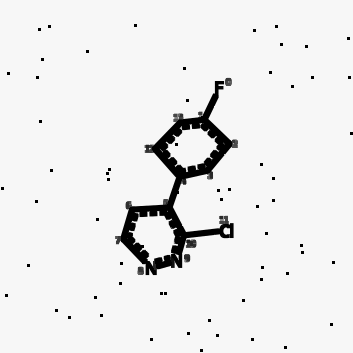 Fc1ccc(-c2ccnnc2Cl)cc1